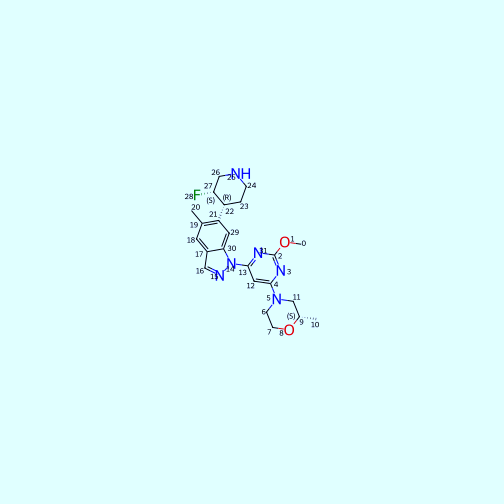 COc1nc(N2CCO[C@@H](C)C2)cc(-n2ncc3cc(C)c([C@H]4CCNC[C@H]4F)cc32)n1